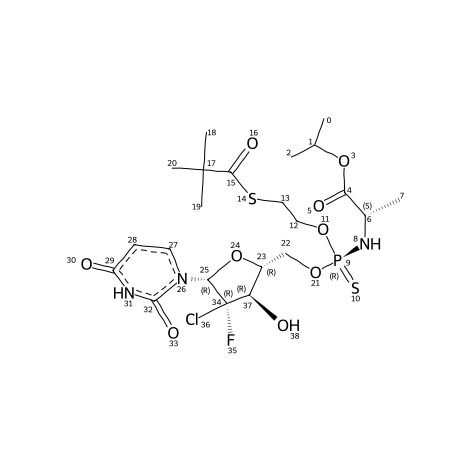 CC(C)OC(=O)[C@H](C)N[P@](=S)(OCCSC(=O)C(C)(C)C)OC[C@H]1O[C@@H](n2ccc(=O)[nH]c2=O)[C@](F)(Cl)[C@@H]1O